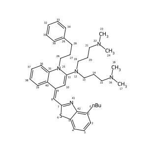 CCCCc1cccc2sc(/C=C3\C=C(N(CCCN(C)C)CCCN(C)C)N(CCCc4ccccc4)c4ccccc43)nc12